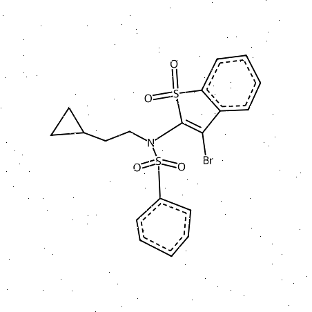 O=S1(=O)C(N(CCC2CC2)S(=O)(=O)c2ccccc2)=C(Br)c2ccccc21